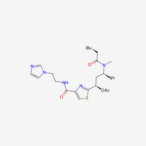 CC[C@H](C)CC(=O)N(C)[C@H](C[C@@H](OC(C)=O)c1nc(C(=O)NCCn2ccnc2)cs1)C(C)C